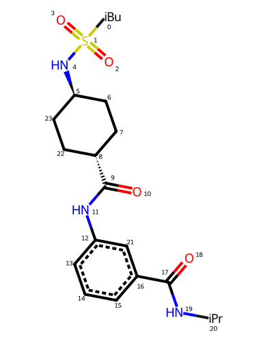 CCC(C)S(=O)(=O)N[C@H]1CC[C@H](C(=O)Nc2cccc(C(=O)NC(C)C)c2)CC1